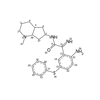 CN1CCCC2CC(NC(=O)C(=N)c3cc(Sc4ccccc4)ccc3N)CC21